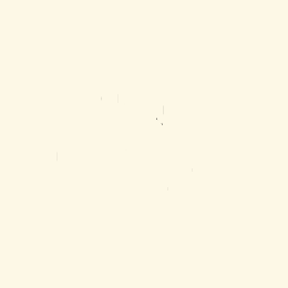 CC(C)[C@@H](C=O)NC(=O)O